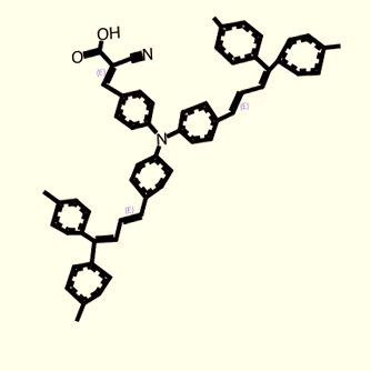 Cc1ccc(C(=C/C=C/c2ccc(N(c3ccc(/C=C/C=C(c4ccc(C)cc4)c4ccc(C)cc4)cc3)c3ccc(/C=C(\C#N)C(=O)O)cc3)cc2)c2ccc(C)cc2)cc1